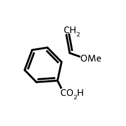 C=COC.O=C(O)c1ccccc1